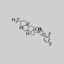 CC1CC[C@]2(F)C3CC[C@@]4(C)C(CC[C@@H]4C(=O)COc4ccc(F)cc4F)[C@@H]3CC[C@@H]2C1